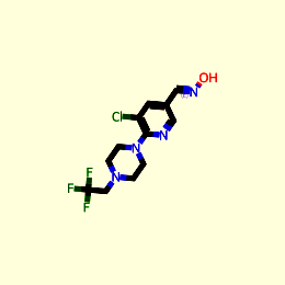 O/N=C/c1cnc(N2CCN(CC(F)(F)F)CC2)c(Cl)c1